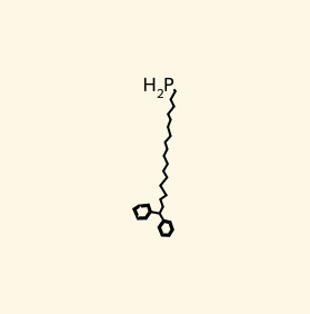 PCCCCCCCCCCCCCCCCCC(c1ccccc1)c1ccccc1